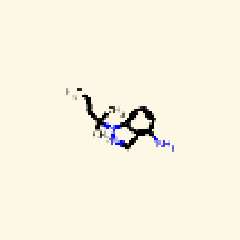 CCCC(C)(C)n1ncc2c(N)cccc21